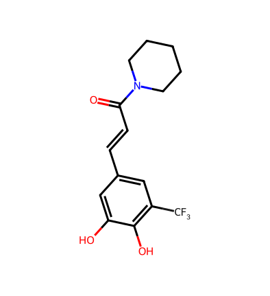 O=C(C=Cc1cc(O)c(O)c(C(F)(F)F)c1)N1CCCCC1